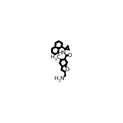 Cc1cc2cc(CN)oc2cc1C(=O)NC1(c2cccc3ccccc23)CC1